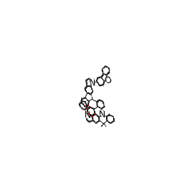 CC1(C)c2ccccc2N(c2cccc(C3c4ccccc4-c4cc5ccn(-c6ccc7oc8ccccc8c7c6)c5cc43)c2-c2ccccc2)c2cc3c(ccn3-c3ccccc3)cc21